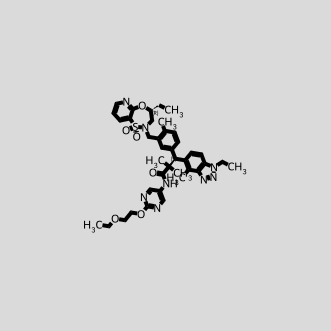 CCOCCOc1ncc(NC(=O)C(C)(C)[C@@H](c2ccc(C)c(CN3C[C@@H](CC)Oc4ncccc4S3(=O)=O)c2)c2ccc3c(nnn3CC)c2C)cn1